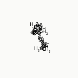 COC(=O)C1=C(C(F)(F)F)NC(C)=C(C(=O)OCCCc2ccc(OCC(O)CNC(C)C)cc2)C1c1cccc([N+](=O)[O-])c1